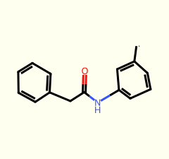 [CH2]c1cccc(NC(=O)Cc2ccccc2)c1